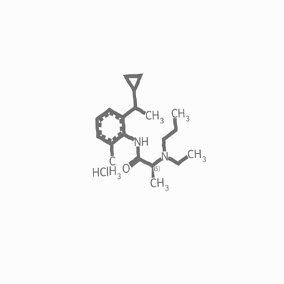 CCCN(CC)[C@@H](C)C(=O)Nc1c(C)cccc1C(C)C1CC1.Cl